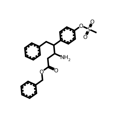 CS(=O)(=O)Oc1ccc(C(Cc2ccccc2)C(N)CC(=O)OCc2ccccc2)cc1